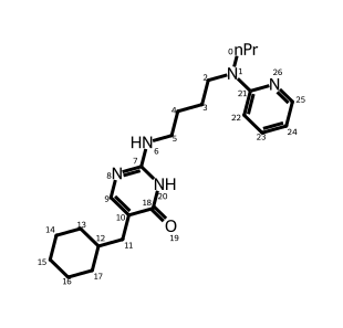 CCCN(CCCCNc1ncc(CC2CCCCC2)c(=O)[nH]1)c1ccccn1